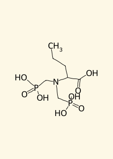 CCCC(C(=O)O)N(CP(=O)(O)O)CP(=O)(O)O